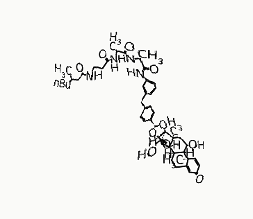 CCCCC(C)CC(=O)NCCC(=O)N[C@@H](C)C(=O)N[C@@H](C)C(=O)Nc1cccc(Cc2ccc([C@@H]3O[C@@H]4C[C@H]5[C@@H]6CCC7=CC(=O)C=C[C@]7(C)[C@H]6[C@@H](O)C[C@]5(C)[C@]4(C(=O)CO)O3)cc2)c1